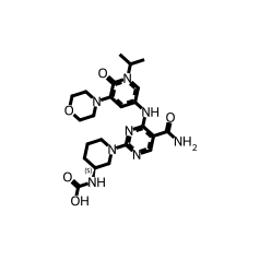 CC(C)n1cc(Nc2nc(N3CCC[C@H](NC(=O)O)C3)ncc2C(N)=O)cc(N2CCOCC2)c1=O